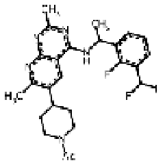 CC(=O)N1CCC(c2cc3c(NC(C)c4cccc(C(F)F)c4F)nc(C)nc3nc2C)CC1